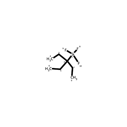 CCC(CC)(CC)[Si](F)(F)F